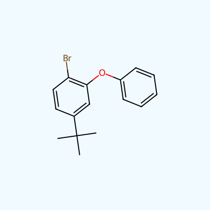 CC(C)(C)c1ccc(Br)c(Oc2ccccc2)c1